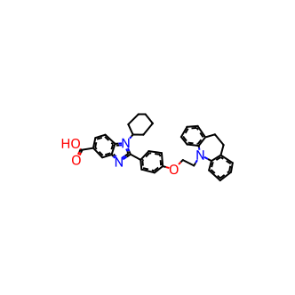 O=C(O)c1ccc2c(c1)nc(-c1ccc(OCCN3c4ccccc4CCc4ccccc43)cc1)n2C1CCCCC1